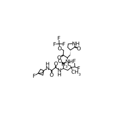 CC(C)(CC(NC(=O)C(=O)NC12CC(F)(C1)C2)C(=O)NC(C[C@@H]1CCNC1=O)C(=O)COC(F)(F)F)C(F)F